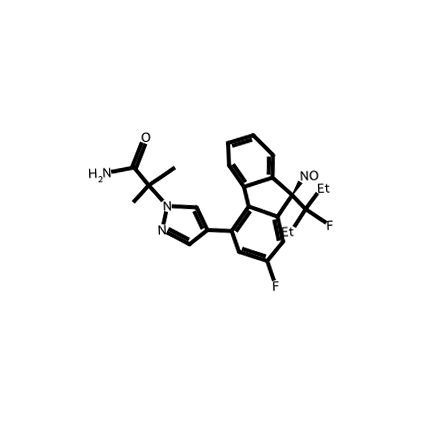 CCC(F)(CC)[C@@]1(N=O)c2ccccc2-c2c(-c3cnn(C(C)(C)C(N)=O)c3)cc(F)cc21